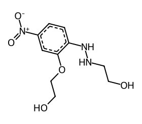 O=[N+]([O-])c1ccc(NNCCO)c(OCCO)c1